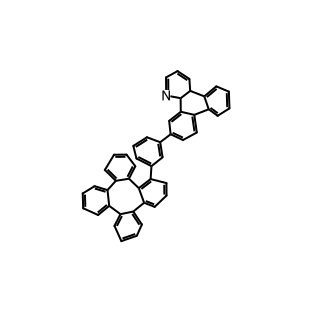 C1=CC2c3ccccc3-c3ccc(-c4cccc(-c5cccc6c5-c5ccccc5-c5ccccc5-c5ccccc5-6)c4)cc3C2N=C1